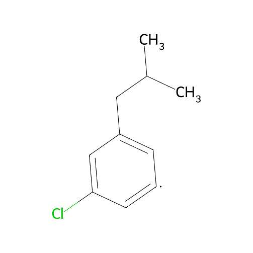 CC(C)Cc1c[c]cc(Cl)c1